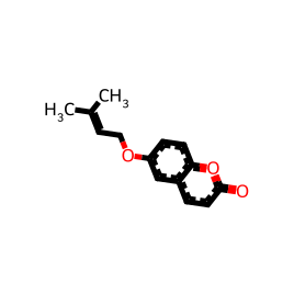 CC(C)=CCOc1ccc2oc(=O)ccc2c1